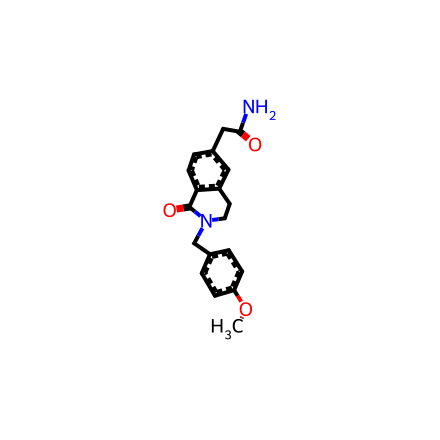 COc1ccc(CN2CCc3cc(CC(N)=O)ccc3C2=O)cc1